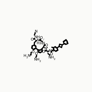 Cc1cc(C2CC(c3ccccc3)C2)ccc1C(=O)N[C@@H](CCN)C(=O)N(C)[C@@H]1C(=O)N[C@@H](C)C(=O)N[C@H](C(=O)NCC#N)Cc2ccc(OCCN)c(c2)-c2cc1ccc2OCCN